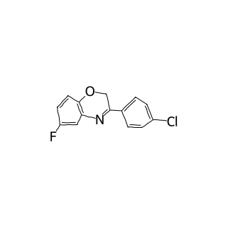 Fc1ccc2c(c1)N=C(c1ccc(Cl)cc1)CO2